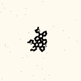 C=C/C=C\c1c(C)c(-c2ccc(C)s2)c2ccccc2c1-c1cccc2sc3ccc(-c4c5ccccc5c(-c5ccc(C)s5)c5ccccc45)cc3c12